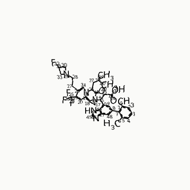 Cc1cccc(C)c1-c1cc(C(CC(=O)O)[N+]23CC2=C2C=C(C(F)(F)F)C(CCN4CC(F)C4)=CN2C(CC(C)C)C3=O)c2[nH]cnc2c1